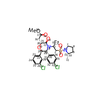 CCC(CS(=O)(=O)N1CCC[C@@H]1C)N1C(=O)[C@@H](CC(=O)OC)O[C@H](c2cccc(Cl)c2)[C@H]1c1ccc(Cl)cc1